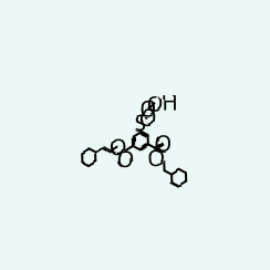 O=C(OCCC1CCCCC1)c1cc(SOOO)cc(C(=O)OCCC2CCCCC2)c1